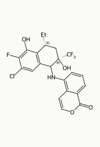 CC[C@@H]1C[C@](O)(C(F)(F)F)C(Nc2cccc3c(=O)occc23)c2cc(Cl)c(F)c(O)c21